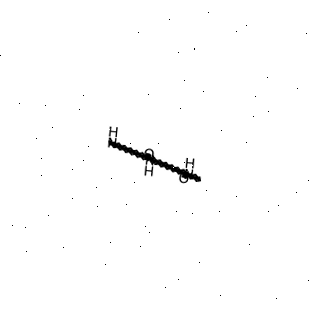 CCCCNC(=O)CCCCCCCCCCCNC(=O)CCCCCCCCCCCNC